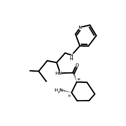 CC(C)CC(CNc1cccnc1)NC(=O)[C@@H]1CCCC[C@@H]1N